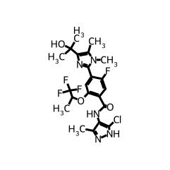 Cc1n[nH]c(Cl)c1NC(=O)c1cc(F)c(-c2nc(C(C)(C)O)c(C)n2C)cc1OC(C)C(F)(F)F